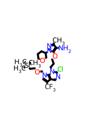 Cc1nn(C2CCCOC2)c(OCCCN2c3c(c(C(F)(F)F)cn3COCC[Si](C)(C)C)C=NC2Cl)c1N